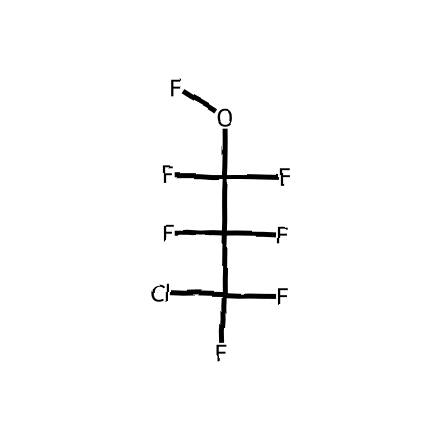 FOC(F)(F)C(F)(F)C(F)(F)Cl